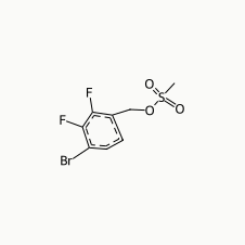 CS(=O)(=O)OCc1ccc(Br)c(F)c1F